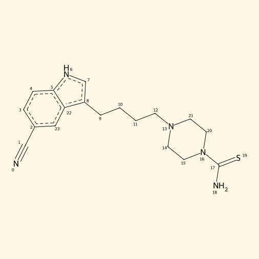 N#Cc1ccc2[nH]cc(CCCCN3CCN(C(N)=S)CC3)c2c1